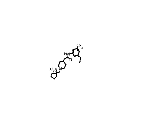 NC1(CN2CCC(CC(=O)Nc3cc(CF)cc(C(F)(F)F)c3)CC2)CCCC1